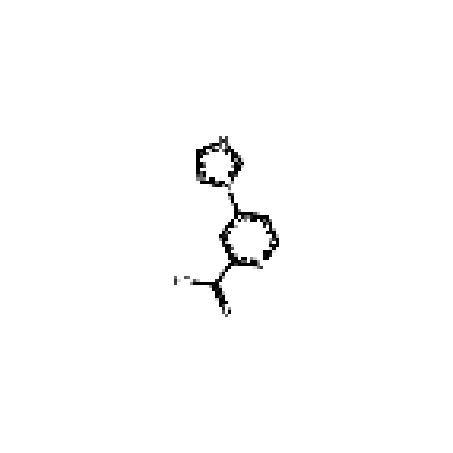 O=C(O)c1cc(-n2ccnc2)ccn1